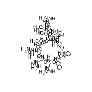 CC(=O)N[C@H]1CSSC(C)(C)[C@@H](C(=O)N[C@H](C(=O)N[C@@H](CCCNC(=N)N)C(=O)N[C@H](C(=O)O)C(C)(C)C)[C@@H](C)O)NC(=O)[C@@H]2CCCN2C(=O)[C@H](Cc2csc3ccccc23)NC(=O)[C@H](Cc2ccc3ccccc3c2)NC(=O)[C@H](CCCNC(=N)N)NC(=O)[C@H](CCCNC(=N)N)NC(=O)[C@@H](CCCNC(=N)N)NC1=O